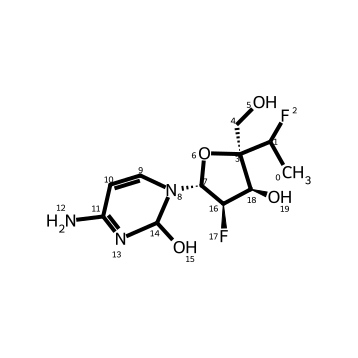 CC(F)[C@]1(CO)O[C@@H](N2C=CC(N)=NC2O)[C@H](F)[C@@H]1O